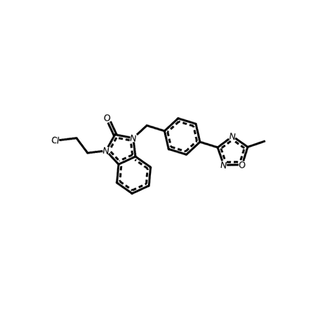 Cc1nc(-c2ccc(Cn3c(=O)n(CCCl)c4ccccc43)cc2)no1